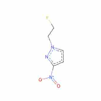 O=[N+]([O-])c1ccn(CCF)n1